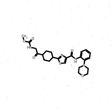 COC(=O)NCC(=O)C1CCC(c2nc(C(=O)Nc3ccccc3N3CCOCC3)cs2)CC1